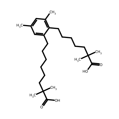 Cc1cc(C)c(CCCCCC(C)(C)C(=O)O)c(CCCCCCC(C)(C)C(=O)O)c1